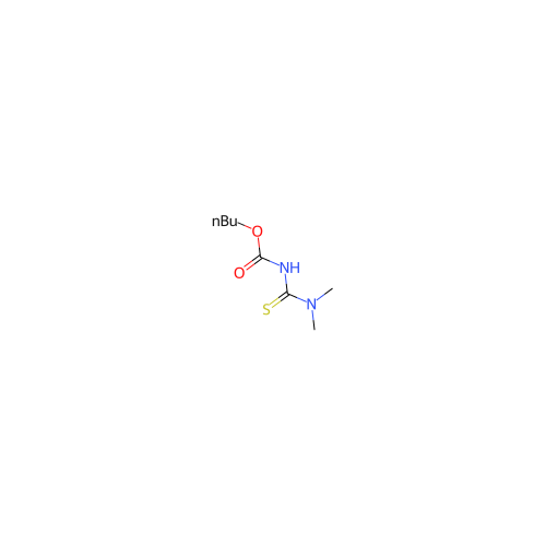 CCCCOC(=O)NC(=S)N(C)C